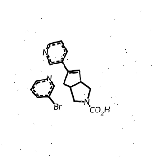 Brc1cccnc1.O=C(O)N1CC2C=C(c3cccnc3)CC2C1